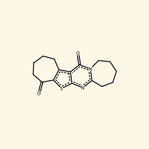 O=C1CCCCc2c1sc1nc3n(c(=O)c21)CCCCC3